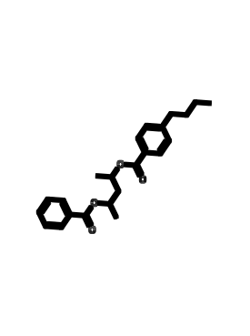 CCCCc1ccc(C(=O)OC(C)CC(C)OC(=O)c2ccccc2)cc1